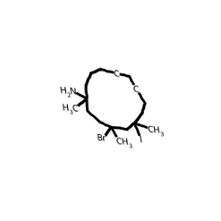 CC1(N)CCCCCCCCC(C)(I)CC(C)(Br)CC1